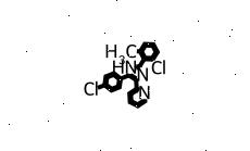 Cc1cccc(Cl)c1-c1nc(-c2ccccn2)c(-c2ccc(Cl)cc2)[nH]1